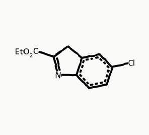 CCOC(=O)C1=Nc2ccc(Cl)cc2C1